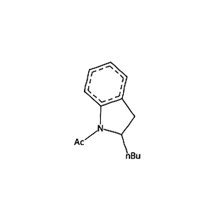 CCCCC1Cc2ccccc2N1C(C)=O